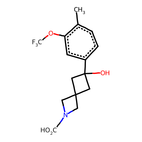 Cc1ccc(C2(O)CC3(CN(C(=O)O)C3)C2)cc1OC(F)(F)F